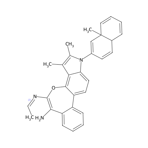 C/C=N\C1=C(N)c2ccccc2-c2ccc3c(c(C)c(C)n3C3=CC4(C)C=CC=CC4C=C3)c2O1